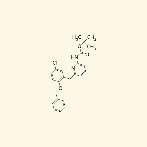 CC(C)(C)OC(=O)Nc1cccc(Cc2cc(Cl)ccc2OCc2ccccc2)n1